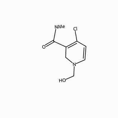 CNC(=O)C1=C(Cl)C=CN(CO)C1